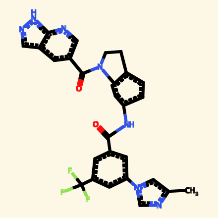 Cc1cn(-c2cc(C(=O)Nc3ccc4c(c3)N(C(=O)c3cnc5[nH]ncc5c3)CC4)cc(C(F)(F)F)c2)cn1